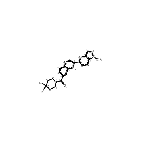 Cn1ncc2nc(-c3cnc4ccc(C(=O)N5CCC(F)(F)CC5)cc4n3)ccc21